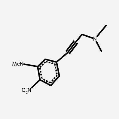 CNc1cc(C#CCN(C)C)ccc1[N+](=O)[O-]